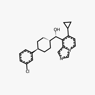 O[C@H](c1c(C2CC2)ccn2cncc12)[C@H]1CC[C@H](c2cccc(Cl)c2)CC1